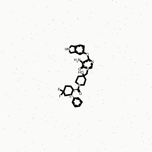 Nc1c(Oc2ccc3c(c2)CNC3)ncn(CC2(O)CCN(C(=O)[C@@H]3CCC(F)(F)C[C@H]3c3ccccc3)CC2)c1=O